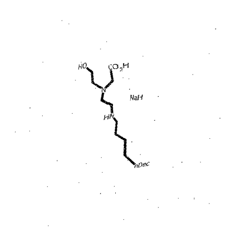 CCCCCCCCCCCCCCNCCN(CCO)CC(=O)O.[NaH]